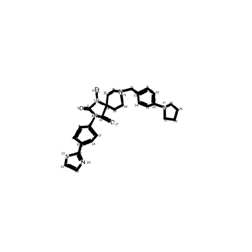 CCN1C(=O)N(c2ccc(-c3nccs3)cc2)C(=O)C12CCN(Cc1ccc(N3CCCC3)cc1)CC2